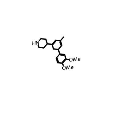 COc1ccc(C2C=C(C)C=C(C3CCNCC3)C2)cc1OC